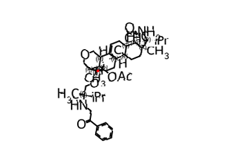 CC(=O)O[C@@H]1C[C@@]23COC[C@@](C)([C@@H]2CC[C@H]2C3=CC[C@@]3(C)[C@H](C(N)=O)[C@@](C)([C@H](C)C(C)C)CC[C@]23C)[C@H]1OC[C@@](C)(NCC(=O)c1ccccc1)C(C)C